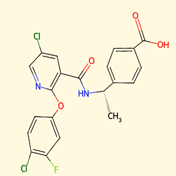 C[C@H](NC(=O)c1cc(Cl)cnc1Oc1ccc(Cl)c(F)c1)c1ccc(C(=O)O)cc1